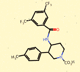 Cc1ccc(C2CN(C(=O)O)CCC2NC(=O)c2cc(C(F)(F)F)cc(C(F)(F)F)c2)cc1